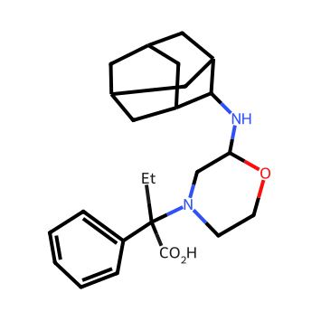 CCC(C(=O)O)(c1ccccc1)N1CCOC(NC2C3CC4CC(C3)CC2C4)C1